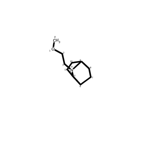 COCCN1C2CCCC1CC2